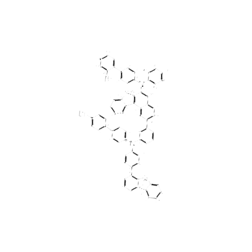 Brc1ccc(-c2ccc(N(c3ccc(-c4cccc5c4sc4ccccc45)cc3)c3cccc(-c4ccc5cc(N(c6ccccc6)c6ccc(-c7ccccc7Br)cc6)c6sc7ccccc7c6c5c4)c3)cc2)cc1